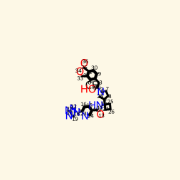 Cc1c(C[C@@H](O)N2CCC(C3(NC(=O)c4ccc(-n5cnnn5)nc4)CCC3)C2)ccc2c1COC2=O